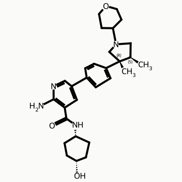 C[C@@H]1CN(C2CCOCC2)C[C@@]1(C)c1ccc(-c2cnc(N)c(C(=O)N[C@H]3CC[C@@H](O)CC3)c2)cc1